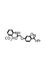 CCCc1noc2cc(OCC(=O)Nc3ccccc3C(=O)O)ccc12